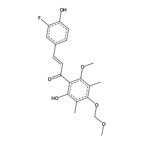 COCOc1c(C)c(O)c(C(=O)/C=C/c2ccc(O)c(F)c2)c(OC)c1C